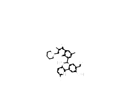 Cc1cc(C(C)Nc2ccc(Cl)nc2-c2ccc(C=O)c(O)c2)c2oc(N3CCCCC3)c(C)c(=O)c2c1